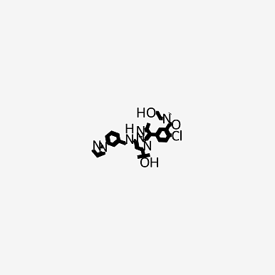 Cc1nn2c(NCc3cccc(-n4cccn4)c3)cc(C(C)(C)O)nc2c1-c1ccc(Cl)c(C(=O)N(C)CCO)c1